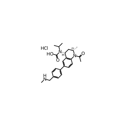 CNCc1ccc(-c2ccc3c(c2)[C@H](N(C(=O)O)C(C)C)C[C@H](C)N3C(C)=O)cc1.Cl